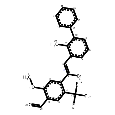 COc1cc(/C(Br)=C/c2cccc(-c3ccccc3)c2C)c(C(F)(F)F)cc1C=O